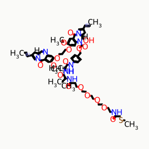 C/C=C/C1=CN2C(=O)c3cc(OC)c(OCCCOc4cc5c(cc4OC)C(=O)N4C=C(/C=C/C)C[C@H]4[C@H](O)N5C(=O)OCc4ccc(NC(=O)[C@H](C)NC(=O)[C@@H](NC(=O)CCOCCOCCOCCOCCNC(=O)CSCC)C(C)C)cc4)cc3N=C[C@@H]2C1